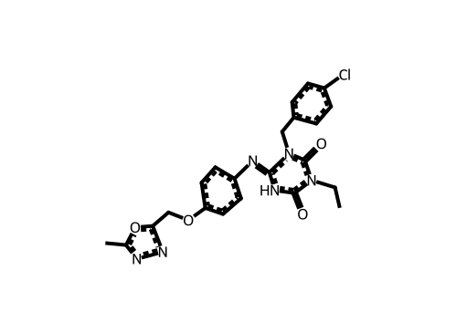 CCn1c(=O)[nH]/c(=N\c2ccc(OCc3nnc(C)o3)cc2)n(Cc2ccc(Cl)cc2)c1=O